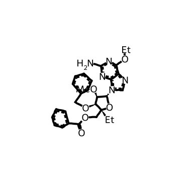 CCOc1nc(N)nc2c1ncn2[C@@H]1O[C@](CC)(COC(=O)c2ccccc2)[C@@H](OCc2ccccc2)[C@H]1OC